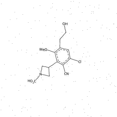 COc1c(CCO)cc(Cl)c(C#N)c1C1CN(C(=O)O)C1